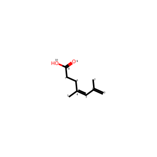 C=C(C)C=C(C)CCC(=O)O